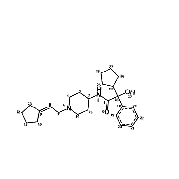 O=C(NC1CCN(CC=C2CCCC2)CC1)C(O)(c1ccccc1)C1CCCC1